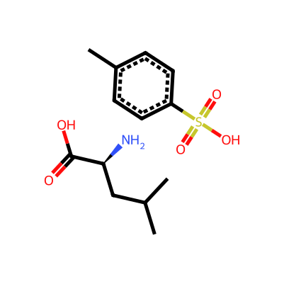 CC(C)C[C@H](N)C(=O)O.Cc1ccc(S(=O)(=O)O)cc1